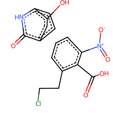 O=C(O)c1c(CCCl)cccc1[N+](=O)[O-].O=c1[nH]c2ccc1cc2O